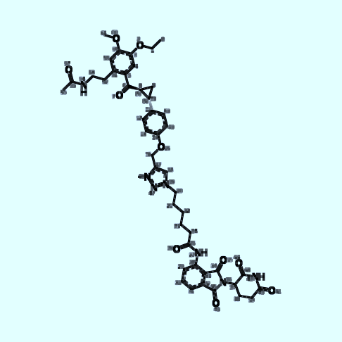 CCOc1cc(C(=O)[C@H]2C[C@@H]2c2ccc(OCc3cn(CCCCCC(=O)Nc4cccc5c4C(=O)N(C4CCC(=O)NC4=O)C5=O)nn3)cc2)c(CCNC(C)=O)cc1OC